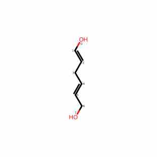 OC=CCC=CCO